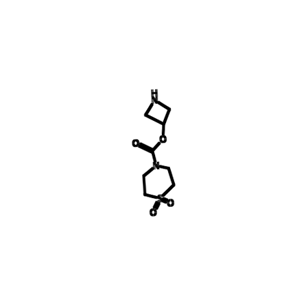 O=C(OC1CNC1)N1CCS(=O)(=O)CC1